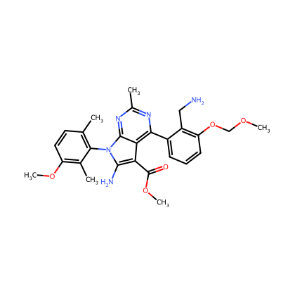 COCOc1cccc(-c2nc(C)nc3c2c(C(=O)OC)c(N)n3-c2c(C)ccc(OC)c2C)c1CN